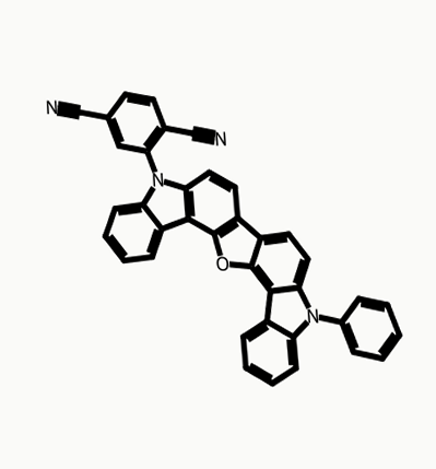 N#Cc1ccc(C#N)c(-n2c3ccccc3c3c4oc5c(ccc6c5c5ccccc5n6-c5ccccc5)c4ccc32)c1